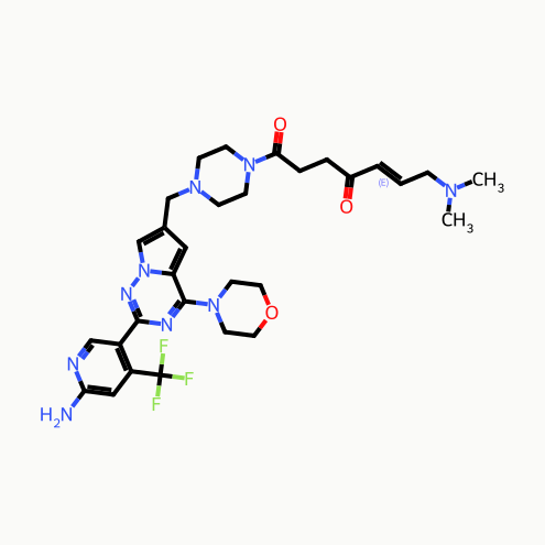 CN(C)C/C=C/C(=O)CCC(=O)N1CCN(Cc2cc3c(N4CCOCC4)nc(-c4cnc(N)cc4C(F)(F)F)nn3c2)CC1